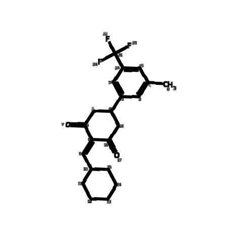 Cc1cc(C2CC(=O)C(=CC3CCCCC3)C(=O)C2)cc(C(F)(F)F)c1